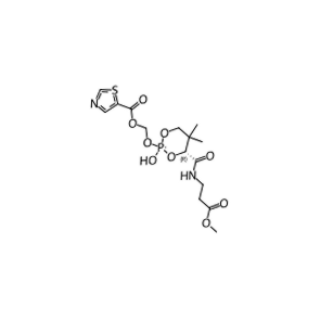 COC(=O)CCNC(=O)[C@@H]1O[P](O)(OCOC(=O)c2cncs2)OCC1(C)C